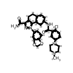 CN1CCN(c2ccc(Cl)c(C(=O)Nc3ccc4c(c3)-c3c(c(C(N)=O)nn3-c3ccc5c(c3)OCO5)CC4)c2)CC1